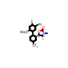 COc1cc(F)c(C(C)C)cc1-c1ccc(C(F)(F)F)cc1[C@H]1OC(=O)N(C)[C@@H]1C